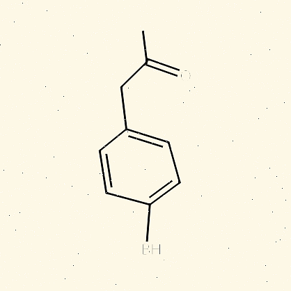 Bc1ccc(CC(C)=O)cc1